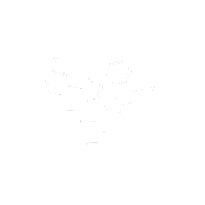 COc1cccc(-c2nnc(NS(=O)(=O)C(C)C(OC)c3ncc(Cl)cn3)n2C(C)[C@H]2CN(C)CCO2)n1